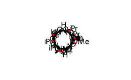 C/C=C/C[C@@H](C)[C@@H](O)[C@H]1C(=O)N[C@@H](CC)C(=O)N(C)[C@H](C)C(=O)N(C)[C@@H]([C@@H](CN2CCOCC2)OC)C(=O)N[C@@H](C(C)C)C(=O)N(C)[C@@H](CCC(C)C)C(=O)N[C@@H](C)C(=O)N[C@H](C)C(=O)N(C)[C@@H](CC(C)C)C(=O)N(C)[C@@H](CC(C)C)C(=O)N(C)[C@@H](C(C)C)C(=O)N1C